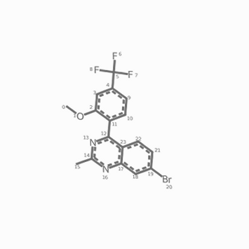 COc1cc(C(F)(F)F)ccc1-c1nc(C)nc2cc(Br)ccc12